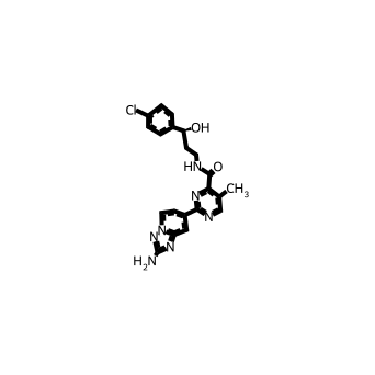 Cc1cnc(-c2ccn3nc(N)nc3c2)nc1C(=O)NCC[C@H](O)c1ccc(Cl)cc1